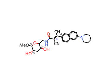 CO[C@H]1OC(CNC(=O)/C(C#N)=C(\C)c2ccc3cc(N4CCCCC4)ccc3c2)[C@@H](O)C[C@H]1O